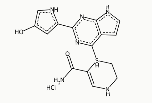 Cl.NC(=O)C1=CNCC[SH]1c1nc(-c2cc(O)c[nH]2)nc2[nH]ccc12